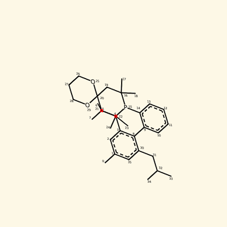 Cc1cc(CC(C)C)c(-c2ccccc2P2C(C)(C)CC3(CC2(C)C)OCCCO3)c(CC(C)C)c1